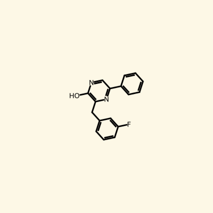 Oc1ncc(-c2ccccc2)nc1Cc1cccc(F)c1